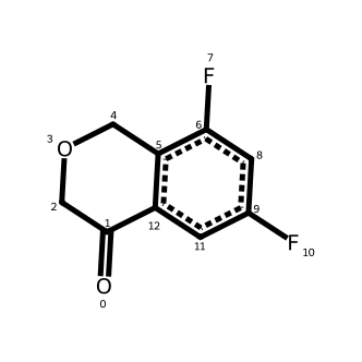 O=C1COCc2c(F)cc(F)cc21